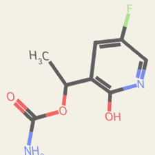 CC(OC(N)=O)c1cc(F)cnc1O